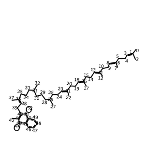 CC(C)=CCC/C(C)=C/CC/C(C)=C/CC/C(C)=C/CC/C(C)=C/CCC(C)CCCC(C)CCC/C(C)=C/CC1=C(C)C(=O)c2ccccc2C1=O